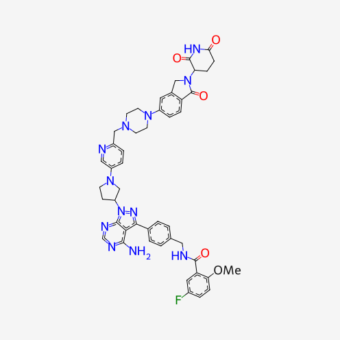 COc1ccc(F)cc1C(=O)NCc1ccc(-c2nn(C3CCN(c4ccc(CN5CCN(c6ccc7c(c6)CN(C6CCC(=O)NC6=O)C7=O)CC5)nc4)C3)c3ncnc(N)c23)cc1